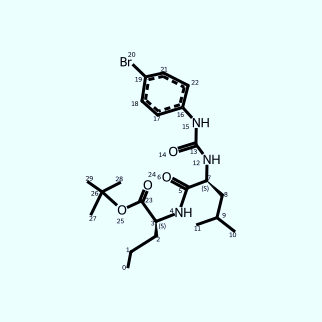 CCC[C@H](NC(=O)[C@H](CC(C)C)NC(=O)Nc1ccc(Br)cc1)C(=O)OC(C)(C)C